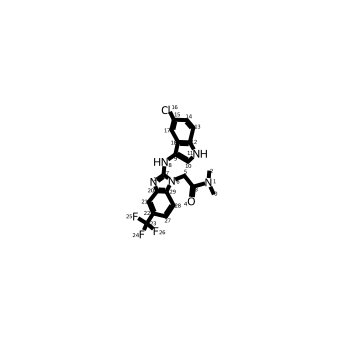 CN(C)C(=O)Cn1c(Nc2c[nH]c3ccc(Cl)cc23)nc2cc(C(F)(F)F)ccc21